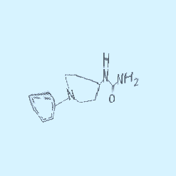 NC(=O)NC1CCN(c2ccccc2)CC1